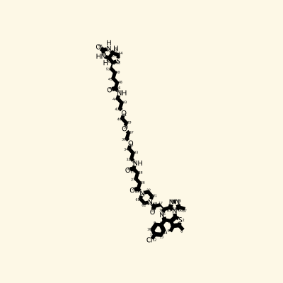 Cc1sc2c(c1C)C(c1ccc(Cl)cc1)=N[C@@H](CC(=O)N1CCN(C(=O)CCCC(=O)NCCCOCCOCCOCCCNC(=O)CCCC[C@@H]3SC[C@@H]4NC(=O)N[C@@H]43)CC1)c1nnc(C)n1-2